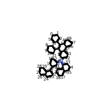 c1ccc(-c2c(-c3ccccc3)c3cc(N(c4cccc(-c5cccc6ccccc56)c4)c4cccc5ccccc45)ccc3c3ccccc23)cc1